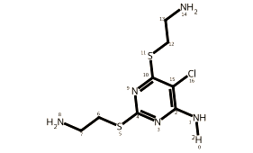 [2H]Nc1nc(SCCN)nc(SCCN)c1Cl